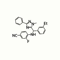 CCc1cccc(C(Nc2ccc(C#N)cc2F)c2nc(-c3ccccc3)nn2C)c1